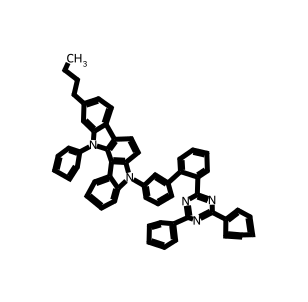 CCCCc1ccc2c3ccc4c(c5ccccc5n4-c4cccc(-c5ccccc5-c5nc(-c6ccccc6)nc(-c6ccccc6)n5)c4)c3n(-c3ccccc3)c2c1